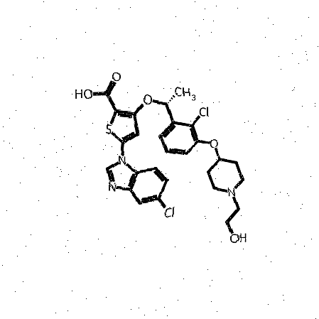 C[C@@H](Oc1cc(-n2cnc3cc(Cl)ccc32)sc1C(=O)O)c1cccc(OC2CCN(CCO)CC2)c1Cl